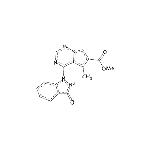 COC(=O)c1cn2ncnc(-n3[nH]c(=O)c4ccccc43)c2c1C